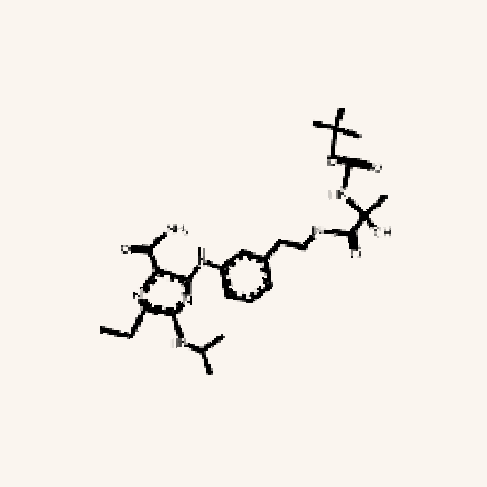 CCc1nc(C(N)=O)c(Nc2cccc(CCNC(=O)C(C)(O)NC(=O)OC(C)(C)C)c2)nc1NC(C)C